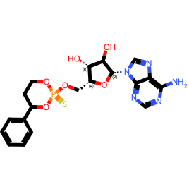 Nc1ncnc2c1ncn2[C@@H]1O[C@H](COP2(=S)OCCC(c3ccccc3)O2)[C@H](O)C1O